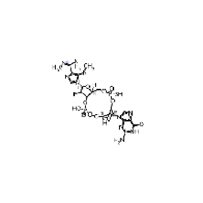 C=Nc1c(/C(N)=N\C)ncn1[C@@H]1O[C@@H]2CO[P@](=O)(S)OC3C(O)[C@@H](COP(=O)(O)OC2C1F)O[C@H]3n1cnc2c(=O)[nH]c(N)nc21